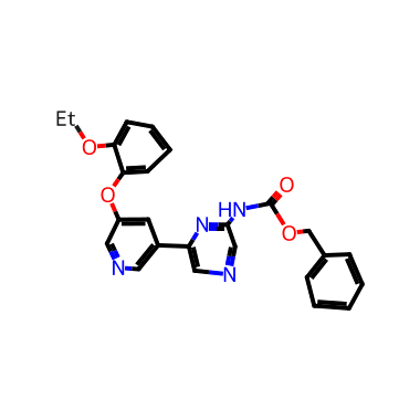 CCOc1ccccc1Oc1cncc(-c2cncc(NC(=O)OCc3ccccc3)n2)c1